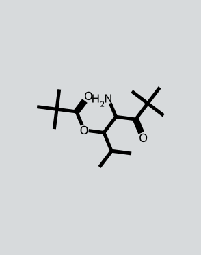 CC(C)C(OC(=O)C(C)(C)C)C(N)C(=O)C(C)(C)C